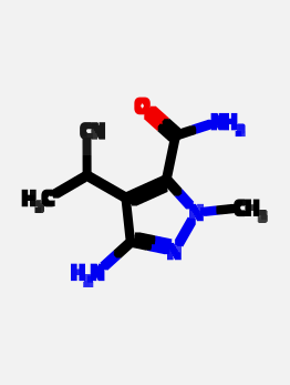 CC(C#N)c1c(N)nn(C)c1C(N)=O